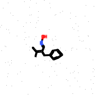 CC(C)=C(/C=N/O)Cc1ccccc1